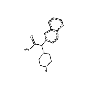 CCCC(=O)C(c1ccc2ccccc2c1)N1CCNCC1